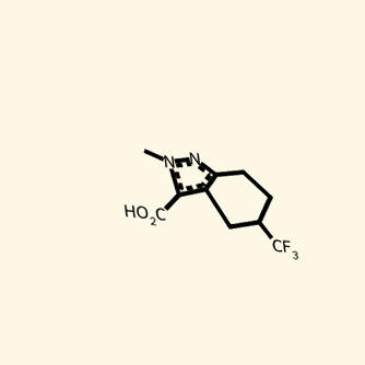 Cn1nc2c(c1C(=O)O)CC(C(F)(F)F)CC2